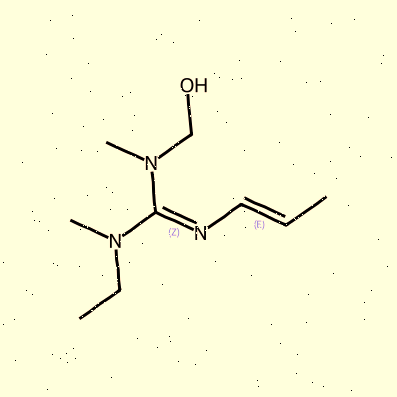 C/C=C/N=C(/N(C)CC)N(C)CO